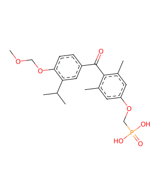 COCOc1ccc(C(=O)c2c(C)cc(OCP(=O)(O)O)cc2C)cc1C(C)C